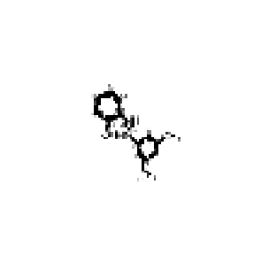 Cc1cc(C)cc(NNc2ccccc2O)c1